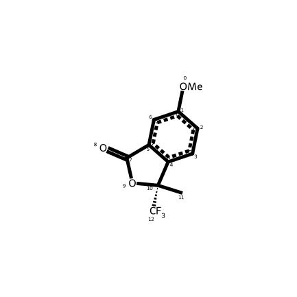 COc1ccc2c(c1)C(=O)O[C@@]2(C)C(F)(F)F